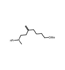 C=C(CCCCOC)CCN(C)CCC